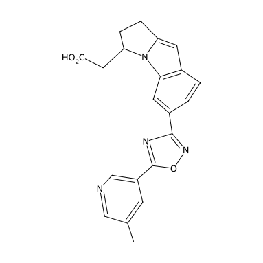 Cc1cncc(-c2nc(-c3ccc4cc5n(c4c3)C(CC(=O)O)CC5)no2)c1